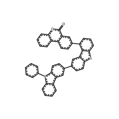 O=c1oc2ccccc2c2ccc(-c3cccc4sc5ccc(-c6ccc7c(c6)c6ccccc6n7-c6ccccc6)cc5c34)cc12